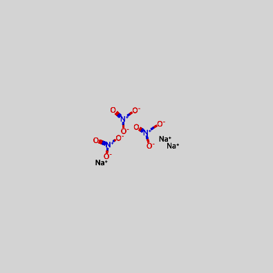 O=[N+]([O-])[O-].O=[N+]([O-])[O-].O=[N+]([O-])[O-].[Na+].[Na+].[Na+]